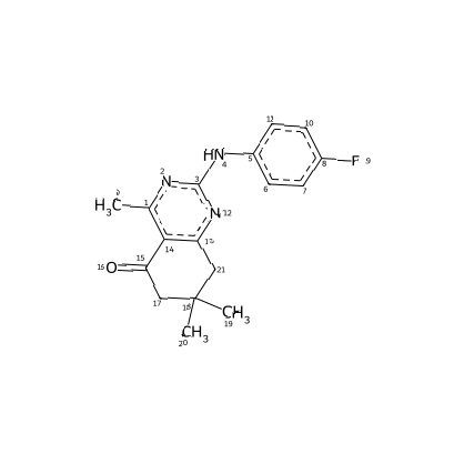 Cc1nc(Nc2ccc(F)cc2)nc2c1C(=O)CC(C)(C)C2